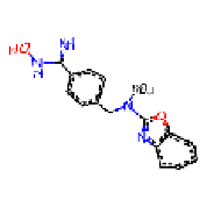 CCCCN(Cc1ccc(C(=N)NO)cc1)c1nc2ccccc2o1